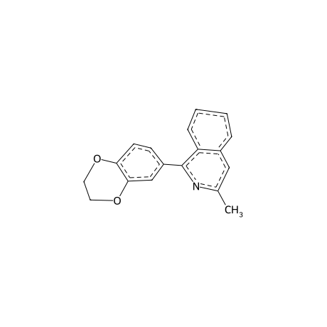 Cc1cc2ccccc2c(-c2ccc3c(c2)OCCO3)n1